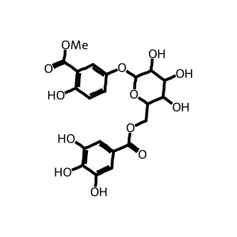 COC(=O)c1cc(OC2OC(COC(=O)c3cc(O)c(O)c(O)c3)C(O)C(O)C2O)ccc1O